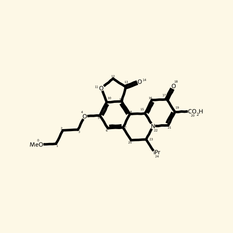 COCCCOc1cc2c(c3c1OCC3=O)-c1cc(=O)c(C(=O)O)cn1C(C(C)C)C2